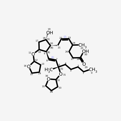 CCCCC[C@@](C)(/C=C/[C@H]1C(OC2CCCO2)C[C@H](O)[C@@H]1C/C=C\C(C)CCC(=O)O)OC1CCCO1